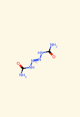 NC(=O)N/N=N/NC(N)=O